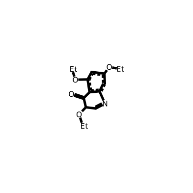 CCOc1cc2c(c(OCC)c1)C(=O)C(OCC)C=N2